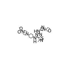 COC(=O)N1CCN([C@H]2CC[C@H](Nc3nc(Nc4cnn([C@H]5CCOC5)c4)nc4snc(C)c34)CC2)CC1